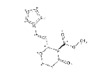 COC(=O)[C@H]1C(=O)CCO[C@@H]1/C=C/c1cccs1